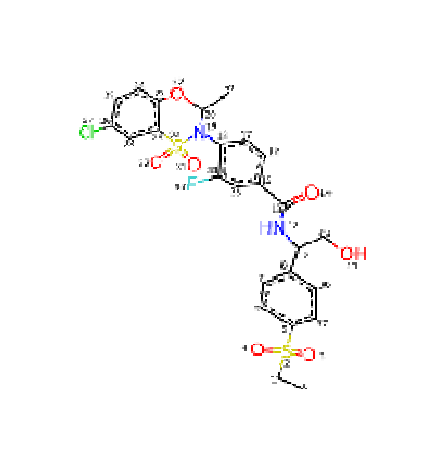 CCS(=O)(=O)c1ccc(C(CO)NC(=O)c2ccc(N3C(C)Oc4ccc(Cl)cc4S3(=O)=O)c(F)c2)cc1